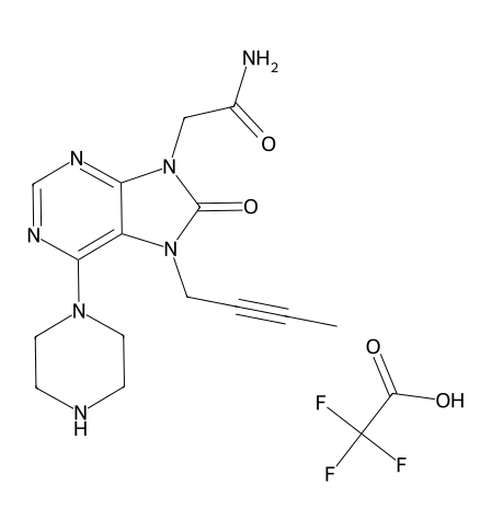 CC#CCn1c(=O)n(CC(N)=O)c2ncnc(N3CCNCC3)c21.O=C(O)C(F)(F)F